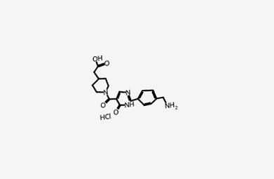 Cl.NCc1ccc(-c2ncc(C(=O)N3CCC(CC(=O)O)CC3)c(=O)[nH]2)cc1